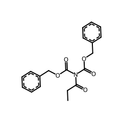 CCC(=O)N(C(=O)OCc1ccccc1)C(=O)OCc1ccccc1